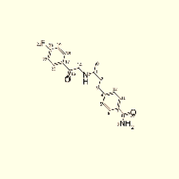 CC(CCc1ccc(C(N)=O)cc1)NCC(=O)c1ccc(F)cc1